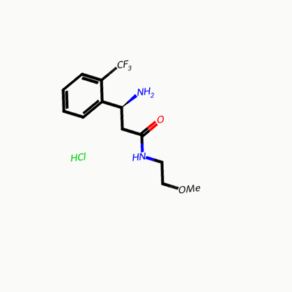 COCCNC(=O)C[C@H](N)c1ccccc1C(F)(F)F.Cl